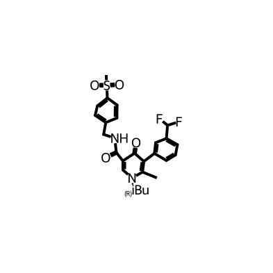 CC[C@@H](C)n1cc(C(=O)NCc2ccc(S(C)(=O)=O)cc2)c(=O)c(-c2cccc(C(F)F)c2)c1C